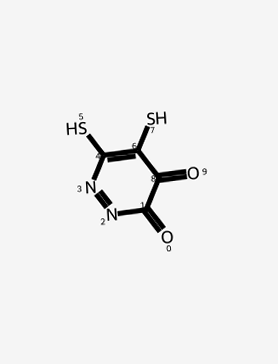 O=C1N=NC(S)=C(S)C1=O